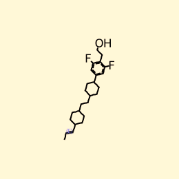 C/C=C/C1CCC(CCC2CCC(c3cc(F)c(CCO)c(F)c3)CC2)CC1